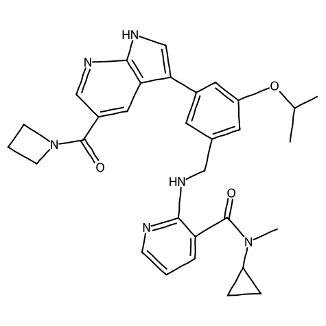 CC(C)Oc1cc(CNc2ncccc2C(=O)N(C)C2CC2)cc(-c2c[nH]c3ncc(C(=O)N4CCC4)cc23)c1